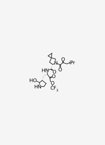 CC(C)CC(=O)C(=O)N1CC2(CC2)C[C@H]1C(=O)N[C@@H](C[C@@H]1CCNC1O)C(=O)COC(F)(F)F